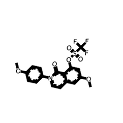 COc1ccc(-n2ccc3cc(OC)cc(OS(=O)(=O)C(F)(F)F)c3c2=O)cc1